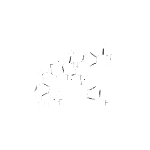 CNC(=O)c1ccc(-n2c(N(C)[C@@H](C)c3ccc(F)cc3)nc3c(c2=O)C[C@@H](C)N(C(=O)c2ccc(Cl)c(C(F)(F)F)c2)C3)cc1